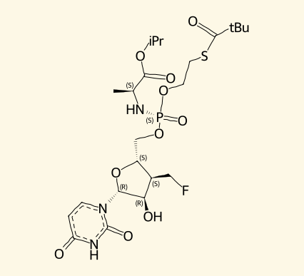 CC(C)OC(=O)[C@H](C)N[P@@](=O)(OCCSC(=O)C(C)(C)C)OC[C@H]1O[C@@H](n2ccc(=O)[nH]c2=O)[C@H](O)[C@@H]1CF